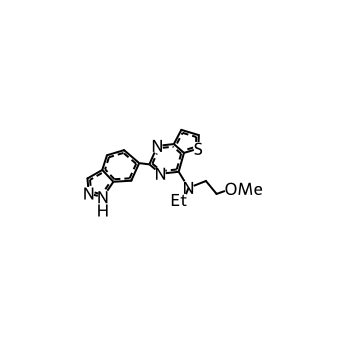 CCN(CCOC)c1nc(-c2ccc3cn[nH]c3c2)nc2ccsc12